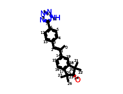 CC(=Cc1ccc(-c2nnn[nH]2)cc1)c1ccc2c(c1)C(C)(C)C(=O)C2(C)C